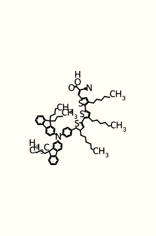 CCCCCCc1cc(-c2sc(/C=C(\C#N)C(=O)O)cc2CCCCCC)sc1C1=CC(CCCCCC)C(c2ccc(N(c3ccc4c(c3)C(C)(CCCC)c3ccccc3-4)c3ccc4c(c3)C(CCCC)(CCCC)c3ccccc3-4)cc2)S1